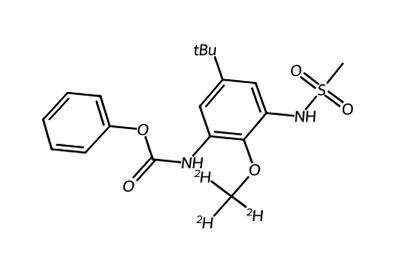 [2H]C([2H])([2H])Oc1c(NC(=O)Oc2ccccc2)cc(C(C)(C)C)cc1NS(C)(=O)=O